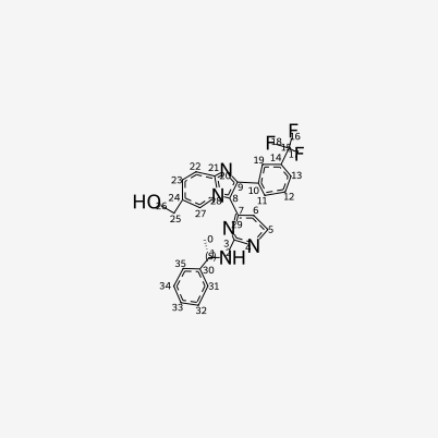 C[C@H](Nc1nccc(-c2c(-c3cccc(C(F)(F)F)c3)nc3ccc(CO)cn23)n1)c1ccccc1